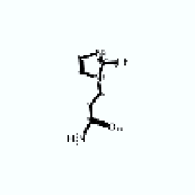 CCc1nccn1CCC(N)=O